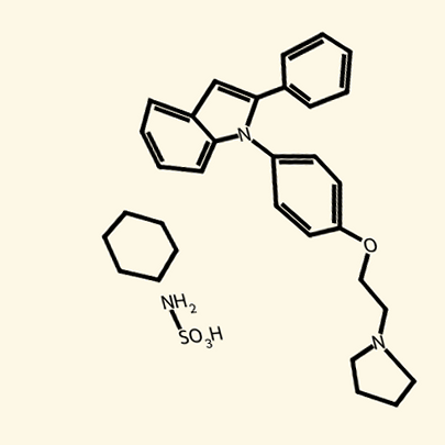 C1CCCCC1.NS(=O)(=O)O.c1ccc(-c2cc3ccccc3n2-c2ccc(OCCN3CCCC3)cc2)cc1